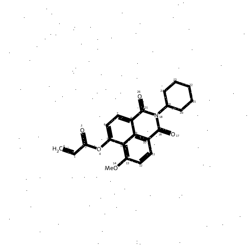 C=CC(=O)Oc1ccc2c3c(ccc(OC)c13)C(=O)N(C1CCCCC1)C2=O